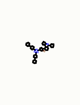 c1ccc(-c2ccc(-c3nc(-c4ccc(-c5ccccc5)cc4)nc(-c4ccc5c(c4)sc4ccc6c(-c7ccccc7)nc7ccccc7c6c45)n3)cc2)cc1